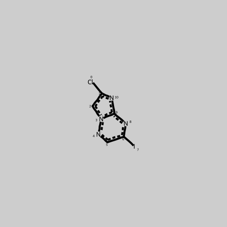 Clc1cn2ncc(I)nc2n1